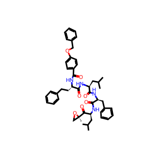 CC(C)C[C@H](NC(=O)[C@H](CCc1ccccc1)NC(=O)c1ccc(OCc2ccccc2)cc1)C(=O)N[C@@H](Cc1ccccc1)C(=O)N[C@@H](CC(C)C)C(=O)[C@@]1(C)CO1